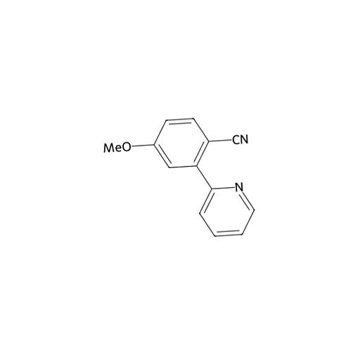 COc1ccc(C#N)c(-c2ccccn2)c1